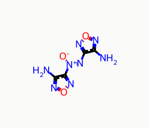 Nc1nonc1N=[N+]([O-])c1nonc1N